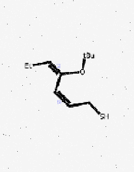 CC/C=C(\C=C/CS)OC(C)(C)C